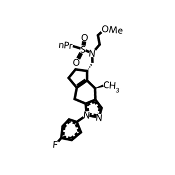 CCCS(=O)(=O)N(CCOC)C[C@H]1CCC2=C1[C@@H](C)c1cnn(-c3ccc(F)cc3)c1C2